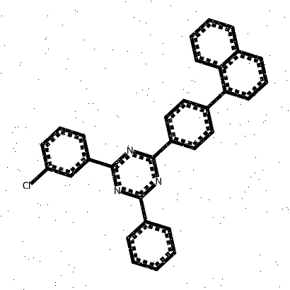 Clc1cccc(-c2nc(-c3ccccc3)nc(-c3ccc(-c4cccc5ccccc45)cc3)n2)c1